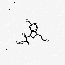 COC(=O)C(=O)C1CN(CCBr)c2ccc(Cl)cc21